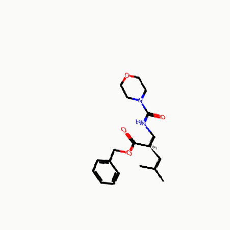 CC(C)C[C@H](CNC(=O)N1CCOCC1)C(=O)OCc1ccccc1